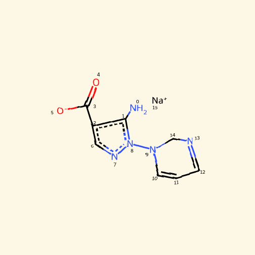 Nc1c(C(=O)[O-])cnn1N1C=CC=NC1.[Na+]